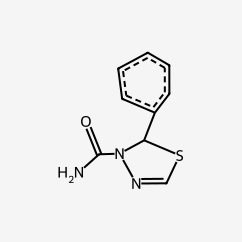 NC(=O)N1N=CSC1c1ccccc1